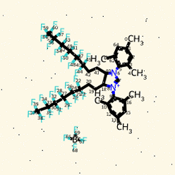 Cc1cc(C)c(N2C=[N+](c3c(C)cc(C)cc3C)C(CCC(F)(F)C(F)(F)C(F)(F)C(F)(F)C(F)(F)C(F)(F)F)C2CCC(F)(F)C(F)(F)C(F)(F)C(F)(F)C(F)(F)C(F)(F)F)c(C)c1.F[B-](F)(F)F